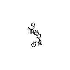 Cn1ncc(-c2ccc3cnc(NC(CN4CCCC4)=C4CC4)cc3c2)c1CN1CCCCC1